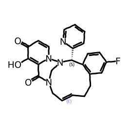 O=C1c2c(O)c(=O)ccn2N2CN1C/C=C/CCc1cc(F)ccc1[C@H]2c1ccccn1